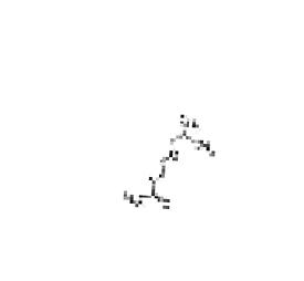 CC(=O)SCCOCC(C)C